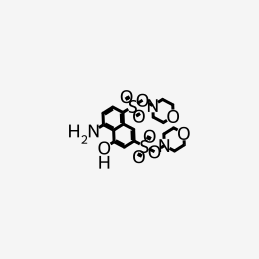 Nc1ccc(S(=O)(=O)ON2CCOCC2)c2cc(S(=O)(=O)ON3CCOCC3)cc(O)c12